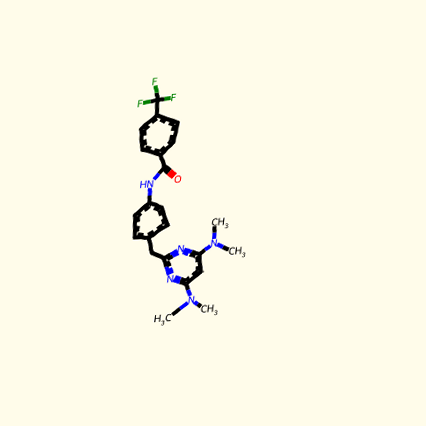 CN(C)c1[c]c(N(C)C)nc(Cc2ccc(NC(=O)c3ccc(C(F)(F)F)cc3)cc2)n1